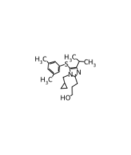 Cc1cc(C)cc(Sc2c(C(C)C)nc(CCCO)n2CC2CC2)c1